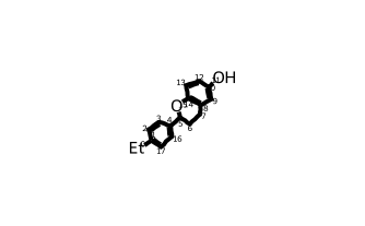 CCc1ccc(C2CCc3cc(O)ccc3O2)cc1